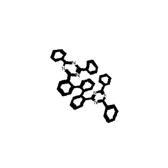 c1ccc(-c2nc(-c3ccccc3)nc(-c3ccccc3-c3ccccc3-c3ccccc3-c3nc(-c4ccccc4)nc(-c4ccccc4)n3)n2)cc1